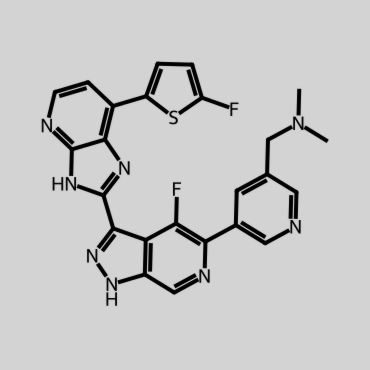 CN(C)Cc1cncc(-c2ncc3[nH]nc(-c4nc5c(-c6ccc(F)s6)ccnc5[nH]4)c3c2F)c1